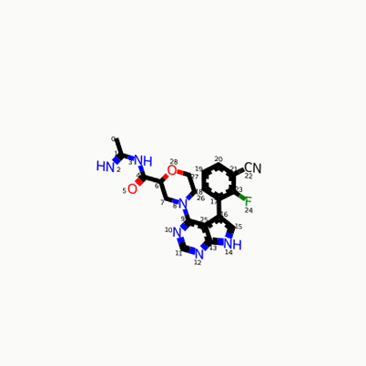 CC(=N)NC(=O)C1CN(c2ncnc3[nH]cc(-c4cccc(C#N)c4F)c23)CCO1